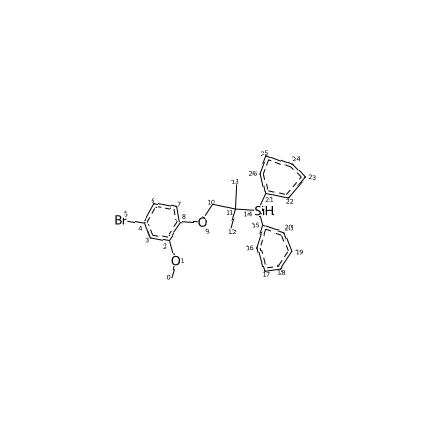 COc1cc(Br)ccc1OCC(C)(C)[SiH](c1ccccc1)c1ccccc1